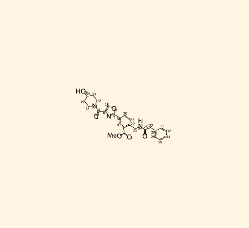 COC(=O)c1cc(-c2nc(C(=O)N3CCC(O)CC3)co2)ccc1CNC(=O)Cc1ccccc1